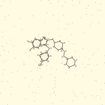 Cc1cc2nc(CC3CCN(CCC4CCCCC4)CC3)n(Cc3ccc(Cl)cc3)c2cc1C